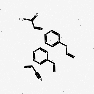 C=CC#N.C=CC(N)=O.C=CCc1ccccc1.C=Cc1ccccc1